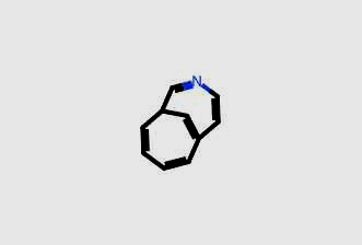 C1=CC2=CC(C=C1)C=NC=C2